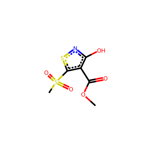 COC(=O)c1c(O)nsc1S(C)(=O)=O